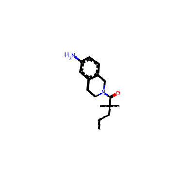 CCCC(C)(C)C(=O)N1CCc2cc(N)ccc2C1